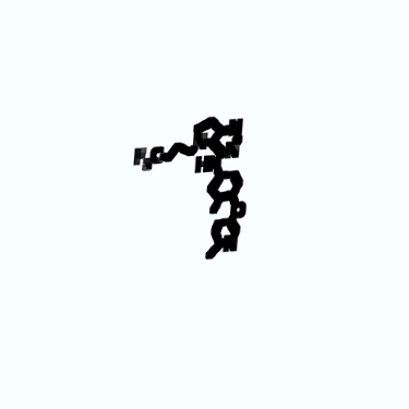 Cc1ccc(Oc2ccc(Nc3ncnc4ccn(CCCC(F)(F)F)c34)cc2C)cn1